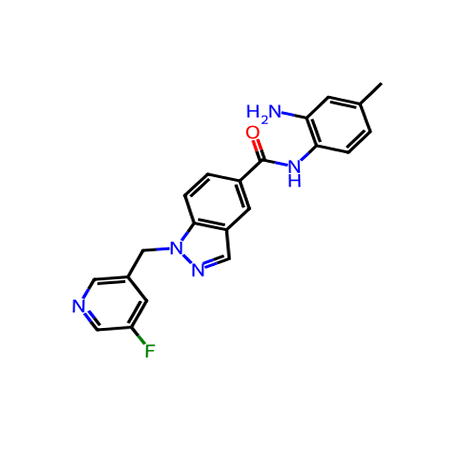 Cc1ccc(NC(=O)c2ccc3c(cnn3Cc3cncc(F)c3)c2)c(N)c1